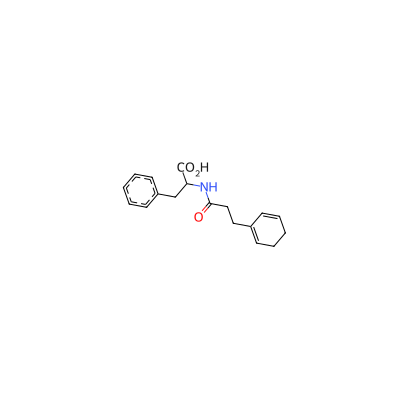 O=C(CCC1=CCCC=C1)NC(Cc1ccccc1)C(=O)O